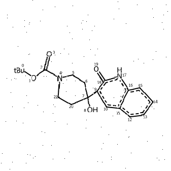 CC(C)(C)OC(=O)N1CCC(O)(c2cc3ccccc3[nH]c2=O)CC1